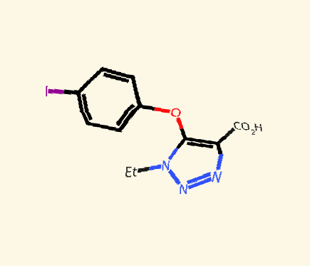 CCn1nnc(C(=O)O)c1Oc1ccc(I)cc1